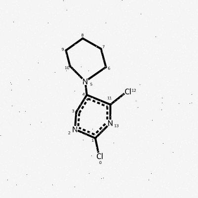 Clc1ncc(N2CCCCC2)c(Cl)n1